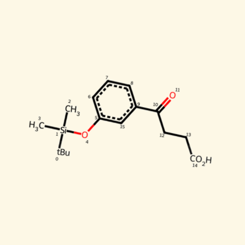 CC(C)(C)[Si](C)(C)Oc1cccc(C(=O)CCC(=O)O)c1